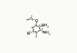 Cc1c(Br)cc(OC2CC2)c(N)c1N